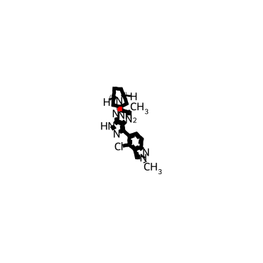 Cc1nc2c(-c3ccc4nn(C)cc4c3Cl)n[nH]c2nc1N1[C@@H]2CC[C@H]1C[C@@H](N)C2